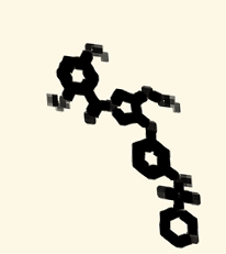 COC1CN(C(=O)c2cc(C)ccc2C)CC1Oc1cccc(NS(=O)(=O)N2CCCOC2)c1